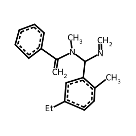 C=NC(c1cc(CC)ccc1C)N(C)C(=C)c1ccccc1